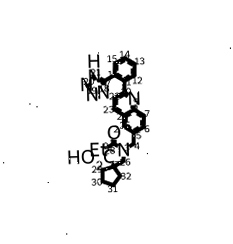 CCC(=O)N(Cc1ccc2nc(-c3ccccc3-c3nnn[nH]3)ccc2c1)CC1(C(=O)O)CCCC1